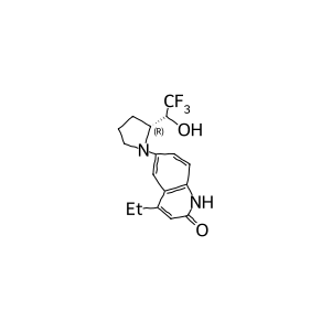 CCc1cc(=O)[nH]c2ccc(N3CCC[C@@H]3C(O)C(F)(F)F)cc12